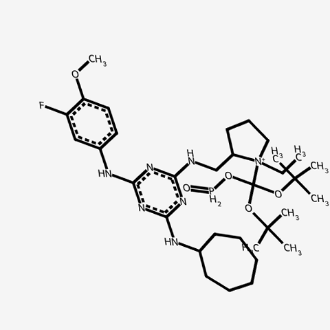 CC[N+]1(C(O[PH2]=O)(OC(C)(C)C)OC(C)(C)C)CCCC1CNc1nc(Nc2ccc(OC)c(F)c2)nc(NC2CCCCCC2)n1